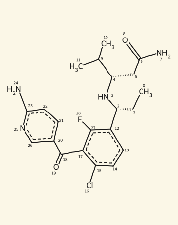 CC[C@@H](N[C@@H](CC(N)=O)C(C)C)c1ccc(Cl)c(C(=O)c2ccc(N)nc2)c1F